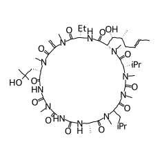 C=C1C(=O)N(C)[C@@H](CC(C)(C)O)C(=O)NC(=O)N(C)C(=O)NC(=O)N[C@@H](C)C(=O)N(C)C(CC(C)C)C(=O)N(C)C(=O)N(C)[C@@H](C(C)C)C(=O)N(C)[C@@H]([C@H](O)[C@H](C)C/C=C/C)C(=O)N[C@@H](CC)C(=O)N1C